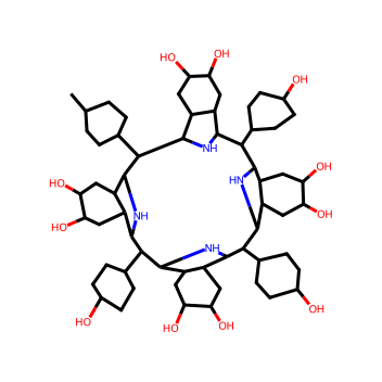 CC1CCC(C2C3NC(C4CC(O)C(O)CC43)C(C3CCC(O)CC3)C3NC(C4CC(O)C(O)CC43)C(C3CCC(O)CC3)C3NC(C4CC(O)C(O)CC43)C(C3CCC(O)CC3)C3NC2C2CC(O)C(O)CC23)CC1